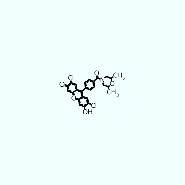 CC1CN(C(=O)c2ccc(-c3c4cc(Cl)c(=O)cc-4oc4cc(O)c(Cl)cc34)cc2)CC(C)O1